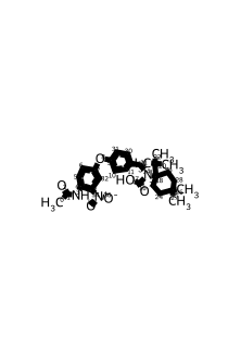 CC(=O)Nc1ccc(Oc2ccc(CN(C(=O)O)C3(C(C)(C)C)CCC(C)(C)CC3)cc2)cc1[N+](=O)[O-]